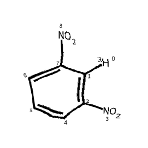 [3H]c1c([N+](=O)[O-])cccc1[N+](=O)[O-]